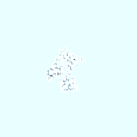 CC1OC(c2ccccc2O)=NC1C(=O)N(CCCCNC(=O)c1cccc(O)c1O)CCCNC(=O)c1cccc(O)c1O